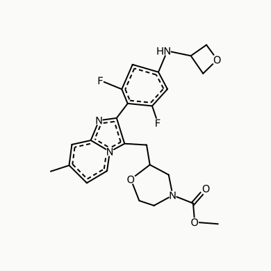 COC(=O)N1CCOC(Cc2c(-c3c(F)cc(NC4COC4)cc3F)nc3cc(C)ccn23)C1